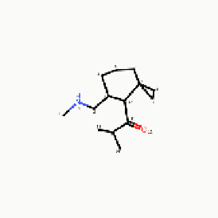 CNCC1CCCC2(CC2)C1C(=O)C(C)C